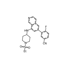 CCS(=O)(=O)N1CCC(Nc2cc(-c3cc(C#N)ccc3F)cc3ccncc23)CC1